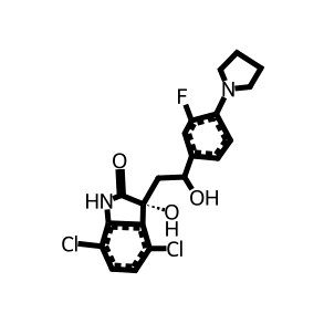 O=C1Nc2c(Cl)ccc(Cl)c2[C@]1(O)CC(O)c1ccc(N2CCCC2)c(F)c1